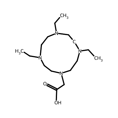 CCN1CCN(CC)CCN(CC(=O)O)CCN(CC)CC1